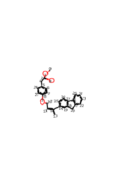 COC(=O)Cc1ccc(OC/C=C(/C)c2ccc3c(c2)Cc2ccccc2-3)cc1